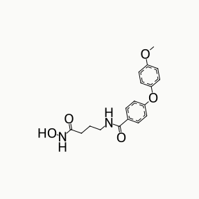 COc1ccc(Oc2ccc(C(=O)NCCCC(=O)NO)cc2)cc1